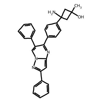 CC1(O)CC(N)(c2ccc(-c3nc4cc(-c5ccccc5)nn4cc3-c3ccccc3)cc2)C1